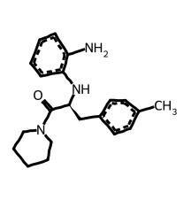 Cc1ccc(C[C@H](Nc2ccccc2N)C(=O)N2CCCCC2)cc1